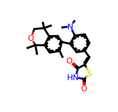 Cc1cc2c(cc1-c1cc(C=C3SC(=O)NC3=O)ccc1N(C)C)C(C)(C)COC2(C)C